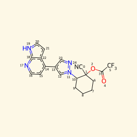 N#CC1(OC(=O)C(F)(F)F)CCCCC1n1cc(-c2ccnc3[nH]ccc23)cn1